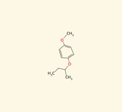 CCC(C)Oc1ccc(OC)cc1